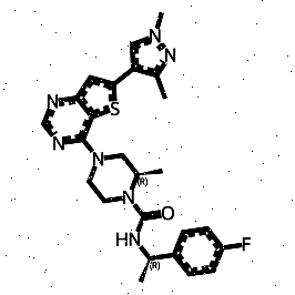 Cc1nn(C)cc1-c1cc2ncnc(N3CCN(C(=O)N[C@H](C)c4ccc(F)cc4)[C@H](C)C3)c2s1